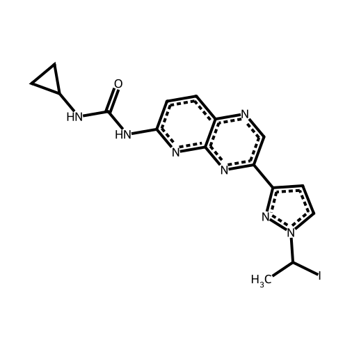 CC(I)n1ccc(-c2cnc3ccc(NC(=O)NC4CC4)nc3n2)n1